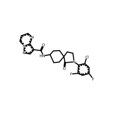 O=C(NC1CCC2(CC1)CCN(c1c(F)cc(F)cc1Cl)C2=O)c1cnn2cccnc12